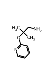 CC(C)(CN)Oc1[c]cccn1